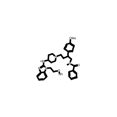 CCCOCCn1c(NC2CCN(CCC(CN(C)C(=O)c3ccccc3)c3ccc(OC)cc3)CC2)nc2ccccc21